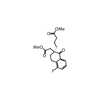 COC(=O)CCC[C@@]1(CC(=O)OC)CCc2c(F)cccc2C1=O